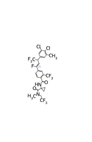 Cc1cc(C(/C=C(\F)c2ccc(C(=O)NC3(C(=O)N(C)CC(F)(F)F)CC3)c(C(F)(F)F)c2)C(F)(F)F)cc(Cl)c1Cl